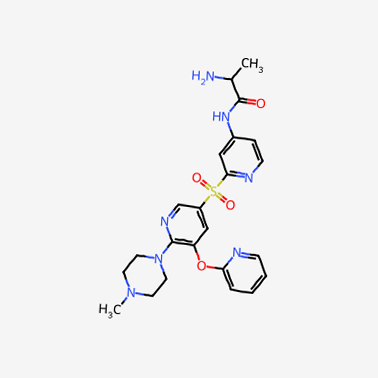 CC(N)C(=O)Nc1ccnc(S(=O)(=O)c2cnc(N3CCN(C)CC3)c(Oc3ccccn3)c2)c1